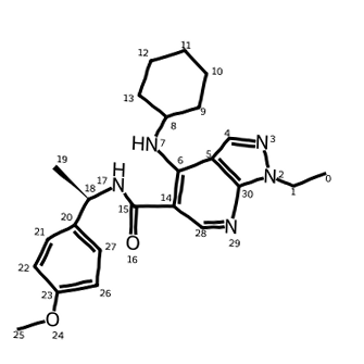 CCn1ncc2c(NC3CCCCC3)c(C(=O)N[C@H](C)c3ccc(OC)cc3)cnc21